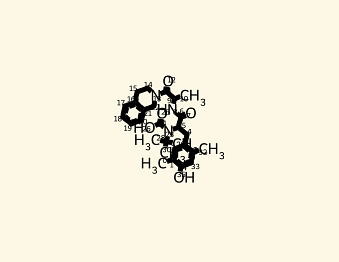 Cc1cc(CC(C(=O)NC(C)C(=O)N2CCc3ccccc3C2)N(C(=O)O)C(C)(C)C)c(C)cc1O